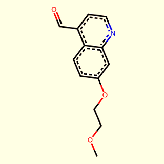 COCCOc1ccc2c(C=O)ccnc2c1